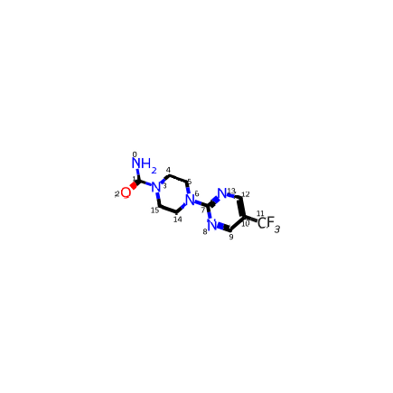 NC(=O)N1CCN(c2ncc(C(F)(F)F)cn2)CC1